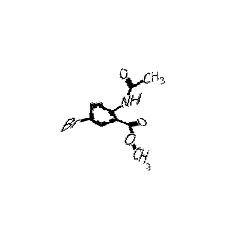 COC(=O)c1cc(Br)ccc1NC(C)=O